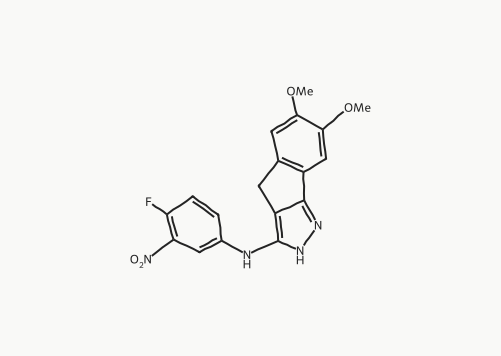 COc1cc2c(cc1OC)-c1n[nH]c(Nc3ccc(F)c([N+](=O)[O-])c3)c1C2